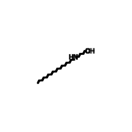 CCCCCCCCCCCCCCCCCNCCCCO